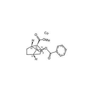 COC(=O)[C@H]1[C@@H](OC(=O)c2ccccc2)C[C@@H]2CC[C@H]1N2C.[Co]